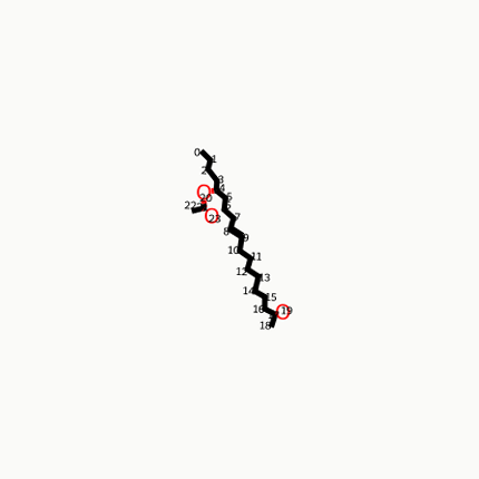 CCCCC(CCCC=CCCCCCCCC(C)=O)OC(C)=O